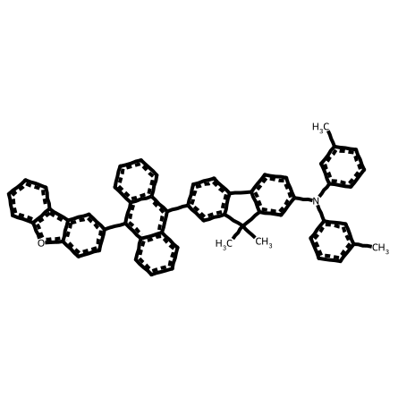 Cc1cccc(N(c2cccc(C)c2)c2ccc3c(c2)C(C)(C)c2cc(-c4c5ccccc5c(-c5ccc6oc7ccccc7c6c5)c5ccccc45)ccc2-3)c1